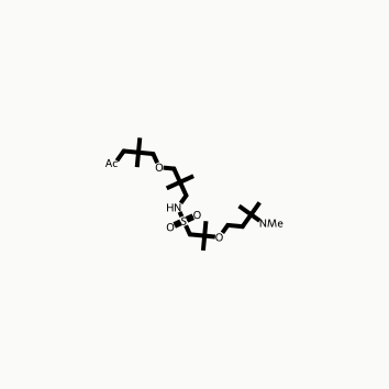 CNC(C)(C)CCOC(C)(C)CS(=O)(=O)NCC(C)(C)COCC(C)(C)CC(C)=O